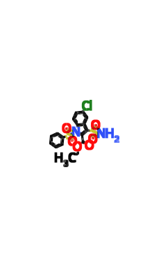 CCOC(=O)c1c(S(N)(=O)=O)c2cc(Cl)ccc2n1S(=O)(=O)c1ccccc1